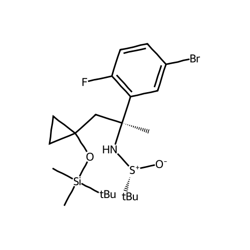 CC(C)(C)[S@@+]([O-])N[C@@](C)(CC1(O[Si](C)(C)C(C)(C)C)CC1)c1cc(Br)ccc1F